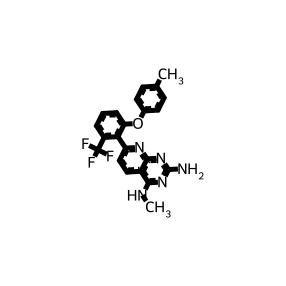 CNc1nc(N)nc2nc(-c3c(Oc4ccc(C)cc4)cccc3C(F)(F)F)ccc12